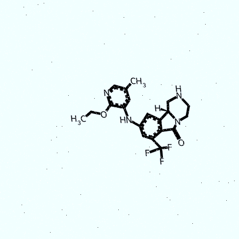 CCOc1ncc(C)cc1Nc1cc2c(c(C(F)(F)F)c1)C(=O)N1CCNC[C@@H]21